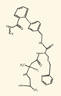 CCNC(=O)c1ccccc1-c1ccc(CNC(=O)C(COCc2ccccc2)NC(=O)CC(C)(C)NCC(C)O)cc1